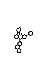 c1ccc(-c2ccc(N(c3ccc4c(ccc5ccccc54)c3)c3cccc4c3oc3cnccc34)cc2)cc1